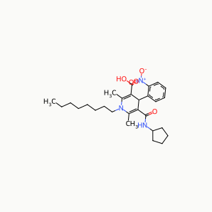 CCCCCCCCN1C(C)=C(C(=O)O)C(c2ccccc2[N+](=O)[O-])C(C(=O)NC2CCCC2)=C1C